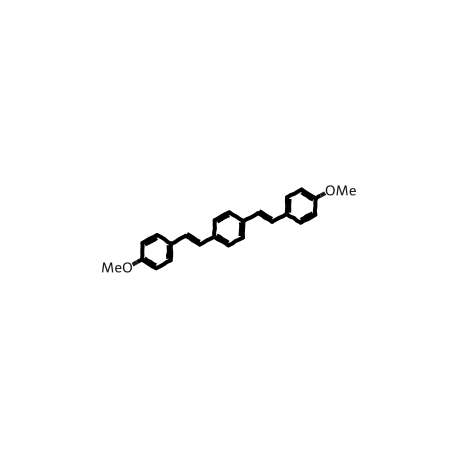 COc1ccc(C=Cc2ccc(C=Cc3ccc(OC)cc3)cc2)cc1